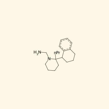 CCCC1(C2CCCc3ccccc32)CCCCN1CN